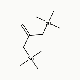 C=C([CH2][Sn]([CH3])([CH3])[CH3])[CH2][Sn]([CH3])([CH3])[CH3]